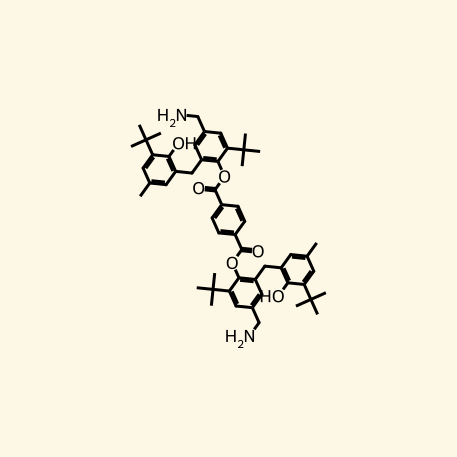 Cc1cc(Cc2cc(CN)cc(C(C)(C)C)c2OC(=O)c2ccc(C(=O)Oc3c(Cc4cc(C)cc(C(C)(C)C)c4O)cc(CN)cc3C(C)(C)C)cc2)c(O)c(C(C)(C)C)c1